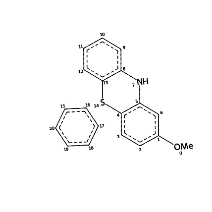 COc1ccc2c(c1)Nc1ccccc1S2.c1ccccc1